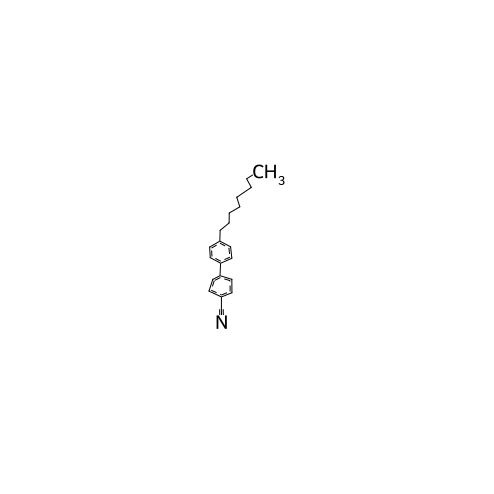 CCCCCCCCc1ccc(-c2ccc(C#N)cc2)cc1